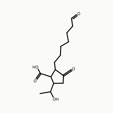 CC(O)C1CC(=O)C(CCCCCCC=O)C1C(=O)O